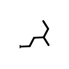 CCC(C)CCI